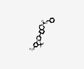 Nc1ccc(N2CC=C(c3ccc4c(c3)CCN(C(=O)OCc3ccccc3)C4)CC2)c(C(F)(F)F)c1